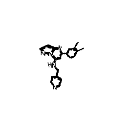 Cc1ccc(-c2cc(NCc3ccncc3)n3nccc3n2)cc1C